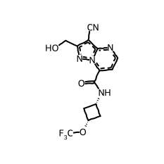 N#Cc1c(CO)nn2c(C(=O)N[C@H]3C[C@@H](OC(F)(F)F)C3)ccnc12